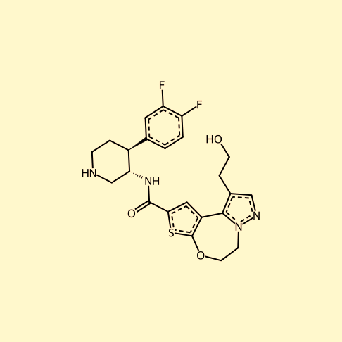 O=C(N[C@@H]1CNCC[C@H]1c1ccc(F)c(F)c1)c1cc2c(s1)OCCn1ncc(CCO)c1-2